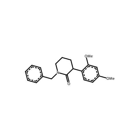 COc1ccc(C2CCCN(Cc3ccccc3)C2=O)c(OC)c1